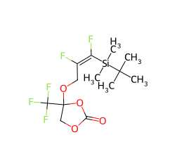 CC(C)(C)[Si](C)(C)C(F)=C(F)COC1(C(F)(F)F)COC(=O)O1